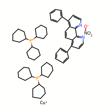 C1CCC(P(C2CCCCC2)C2CCCCC2)CC1.C1CCC(P(C2CCCCC2)C2CCCCC2)CC1.O=[N+]([O-])[O-].[Cu+].c1ccc(-c2ccnc3c2ccc2c(-c4ccccc4)ccnc23)cc1